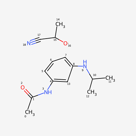 CC(=O)Nc1cccc(NC(C)C)c1.CC([O])C#N